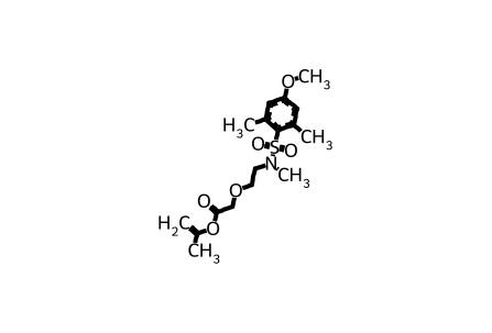 C=C(C)OC(=O)COCCN(C)S(=O)(=O)c1c(C)cc(OC)cc1C